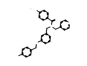 COc1ccc(C(=O)N(Cc2ccncc2)Cc2cccc(OCc3ccc(F)cc3)c2)cc1